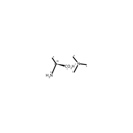 CN(C)C.C[C@H](N)C(=O)O